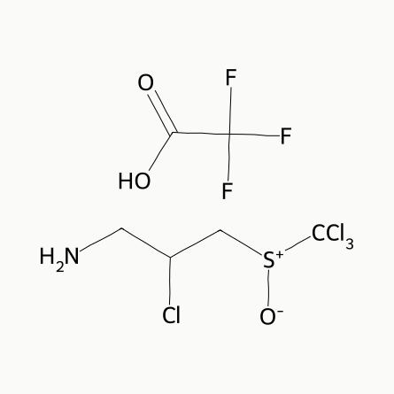 NCC(Cl)C[S+]([O-])C(Cl)(Cl)Cl.O=C(O)C(F)(F)F